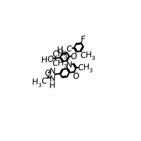 Cc1cc(F)cc(C)c1Oc1ccc(C(C)(C)O)cc1-n1cc(C)c(=O)c2ccc(C3=NOC(C)N3)cc21